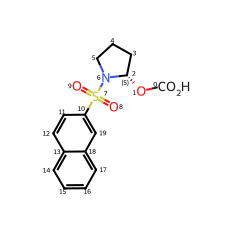 O=C(O)O[C@H]1CCCN1S(=O)(=O)c1ccc2ccccc2c1